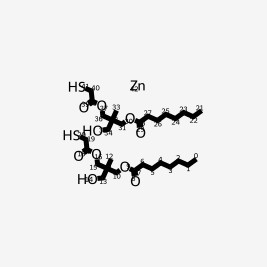 CCCCCCCC(=O)OCC(C)(CO)COC(=O)CS.CCCCCCCC(=O)OCC(C)(CO)COC(=O)CS.[Zn]